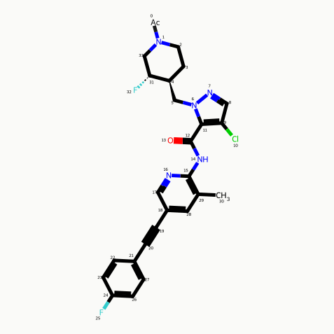 CC(=O)N1CC[C@@H](Cn2ncc(Cl)c2C(=O)Nc2ncc(C#Cc3ccc(F)cc3)cc2C)[C@H](F)C1